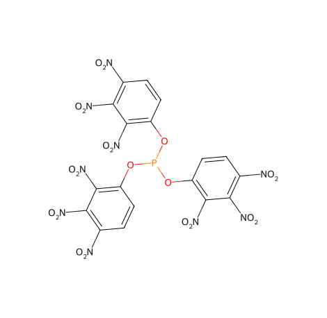 O=[N+]([O-])c1ccc(OP(Oc2ccc([N+](=O)[O-])c([N+](=O)[O-])c2[N+](=O)[O-])Oc2ccc([N+](=O)[O-])c([N+](=O)[O-])c2[N+](=O)[O-])c([N+](=O)[O-])c1[N+](=O)[O-]